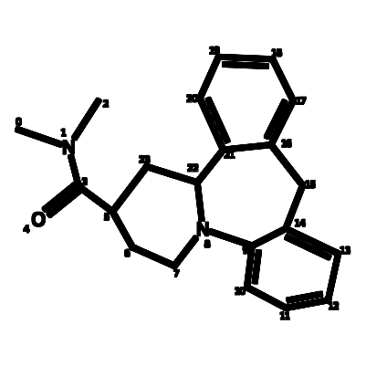 CN(C)C(=O)C1CCN2c3ccccc3Cc3ccccc3C2C1